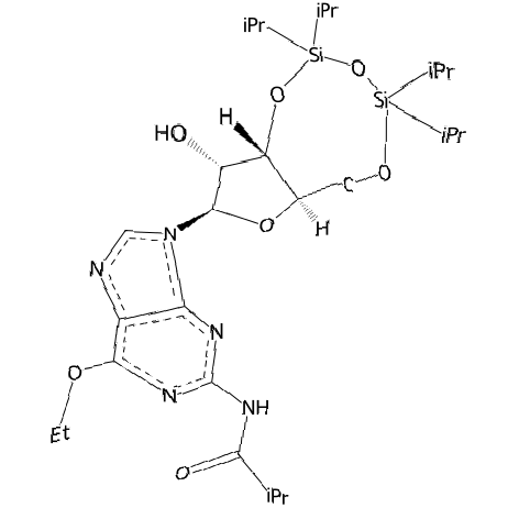 CCOc1nc(NC(=O)C(C)C)nc2c1ncn2[C@@H]1O[C@@H]2CO[Si](C(C)C)(C(C)C)O[Si](C(C)C)(C(C)C)O[C@H]2[C@H]1O